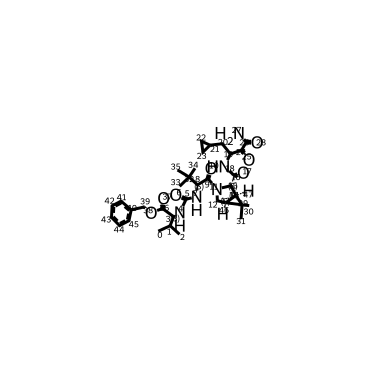 CC(C)[C@H](NC(=O)N[C@H](C(=O)N1C[C@H]2[C@@H]([C@H]1C(=O)NC(CC1CC1)C(=O)C(N)=O)C2(C)C)C(C)(C)C)C(=O)OCc1ccccc1